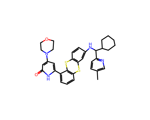 Cc1ccc(C(Nc2ccc3c(c2)Sc2cccc(-c4cc(N5CCOCC5)cc(=O)[nH]4)c2S3)C2CCCCC2)nc1